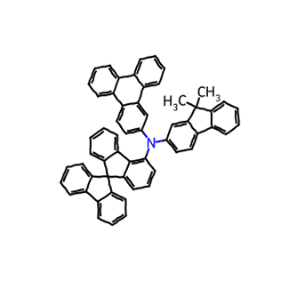 CC1(C)c2ccccc2-c2ccc(N(c3ccc4c5ccccc5c5ccccc5c4c3)c3cccc4c3-c3ccccc3C43c4ccccc4-c4ccccc43)cc21